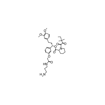 CCC(C)(C)C(=O)C(=O)N1CCCCC1C(=O)O[C@H](CCc1ccc(OC)c(OC)c1)c1cccc(OCC(=O)NCCCN)c1